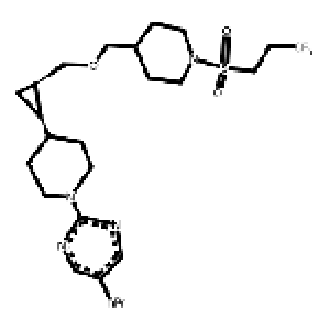 CCCc1cnc(N2CCC([C@H]3C[C@H]3COCC3CCN(S(=O)(=O)CCC(F)(F)F)CC3)CC2)nc1